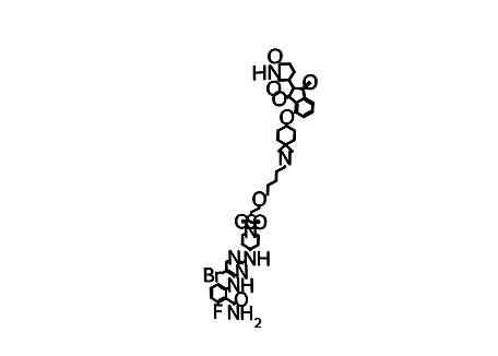 NC(=O)c1c(F)cccc1Nc1nc(NC2CCN(S(=O)(=O)CCOCCCCCN3CC4(CCC(Oc5cccc6c5C(=O)C(C5CCC(=O)NC5=O)C6=O)CC4)C3)CC2)ncc1Br